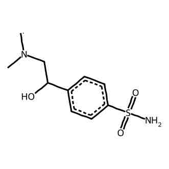 [CH2]N(C)CC(O)c1ccc(S(N)(=O)=O)cc1